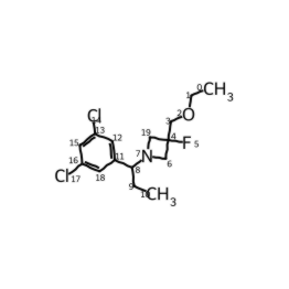 CCOCC1(F)CN(C(CC)c2cc(Cl)cc(Cl)c2)C1